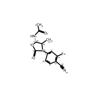 CC(=O)N[C@H]1OC(=O)N(c2ccc(C#N)c(F)c2)C1C